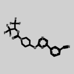 N#Cc1cccc(-c2cncc(OC3CCN(C(=O)OC(C(F)(F)F)C(F)(F)F)CC3)n2)c1